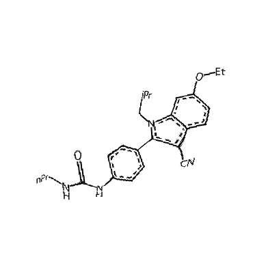 CCCNC(=O)Nc1ccc(-c2c(C#N)c3ccc(OCC)cc3n2CC(C)C)cc1